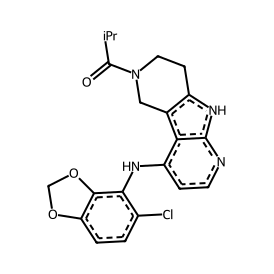 CC(C)C(=O)N1CCc2[nH]c3nccc(Nc4c(Cl)ccc5c4OCO5)c3c2C1